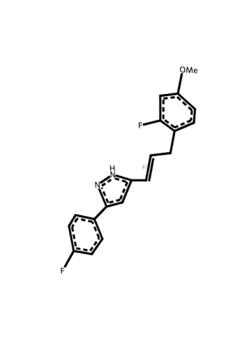 COc1ccc(C/C=C/c2cc(-c3ccc(F)cc3)n[nH]2)c(F)c1